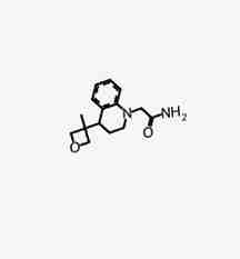 CC1(C2CCN(CC(N)=O)c3ccccc32)COC1